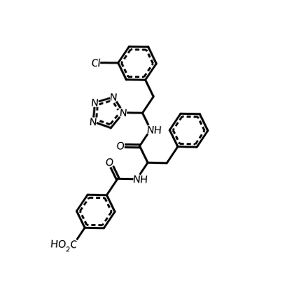 O=C(O)c1ccc(C(=O)NC(Cc2ccccc2)C(=O)NC(Cc2cccc(Cl)c2)n2cnnn2)cc1